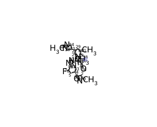 Cc1cc(-c2cc(F)c3nnc(C(C)N(C=O)/C=C\c4ncc(-c5cnn(C)c5)cc4C)n3c2)on1